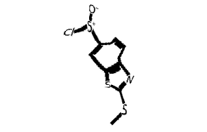 CSc1nc2ccc([S+]([O-])Cl)cc2s1